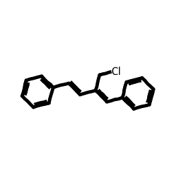 ClCC(C=Cc1ccccc1)=Cc1ccccc1